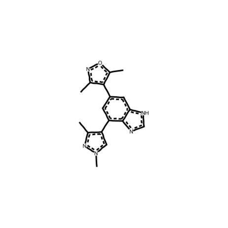 Cc1nn(C)cc1-c1cc(-c2c(C)noc2C)cc2[nH]cnc12